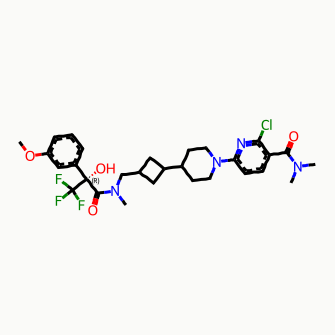 COc1cccc([C@@](O)(C(=O)N(C)CC2CC(C3CCN(c4ccc(C(=O)N(C)C)c(Cl)n4)CC3)C2)C(F)(F)F)c1